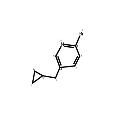 Brc1ccc(CC2CC2)cn1